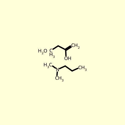 C=C(O)CC.CCCN(C)C.O